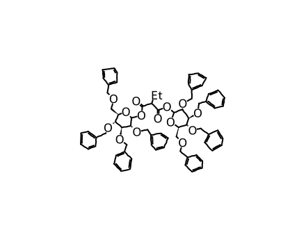 CCC(C(=O)OC1O[C@H](COCc2ccccc2)[C@@H](OCc2ccccc2)[C@H](OCc2ccccc2)[C@H]1OCc1ccccc1)C(=O)OC1O[C@H](COCc2ccccc2)[C@@H](OCc2ccccc2)[C@H](OCc2ccccc2)[C@H]1OCc1ccccc1